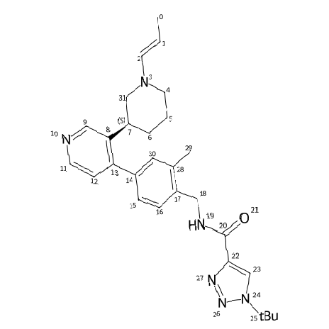 CC=CN1CCC[C@@H](c2cnccc2-c2ccc(CNC(=O)c3cn(C(C)(C)C)nn3)c(C)c2)C1